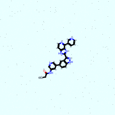 CC(C)(C)CC(=O)Nc1cncc(-c2ccc3[nH]nc(-c4nc5c(-c6cccnc6)nccc5[nH]4)c3c2)c1